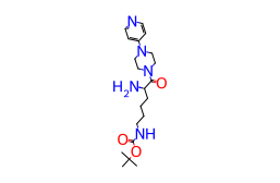 CC(C)(C)OC(=O)NCCCC[C@@H](N)C(=O)N1CCN(c2ccncc2)CC1